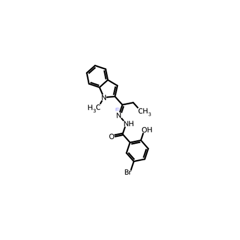 CC/C(=N\NC(=O)c1cc(Br)ccc1O)c1cc2ccccc2n1C